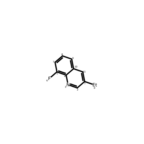 CCc1cnc2c(F)cccc2c1